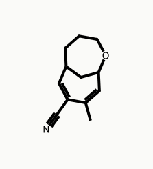 CC1=CC2CC(C=C1C#N)CCCO2